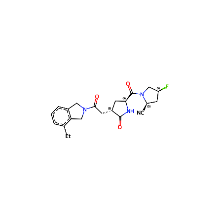 CCc1cccc2c1CN(C(=O)C[C@@H]1C[C@@H](C(=O)N3C[C@@H](F)C[C@H]3C#N)NC1=O)C2